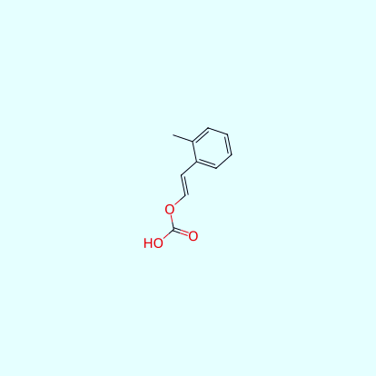 Cc1ccccc1C=COC(=O)O